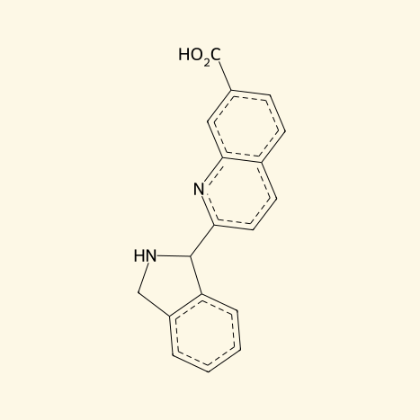 O=C(O)c1ccc2ccc(C3NCc4ccccc43)nc2c1